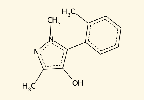 Cc1ccccc1-c1c(O)c(C)nn1C